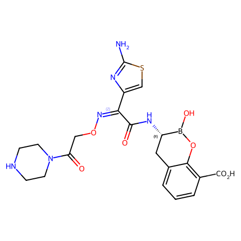 Nc1nc(/C(=N/OCC(=O)N2CCNCC2)C(=O)N[C@H]2Cc3cccc(C(=O)O)c3OB2O)cs1